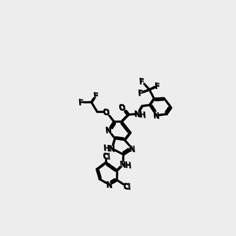 O=C(NCc1ncccc1C(F)(F)F)c1cc2nc(Nc3c(Cl)ccnc3Cl)[nH]c2nc1OCC(F)F